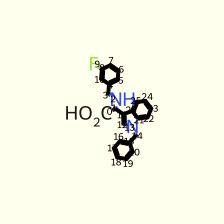 O=C(O)C(NCc1cccc(F)c1)c1cn(Cc2ccccc2)c2ccccc12